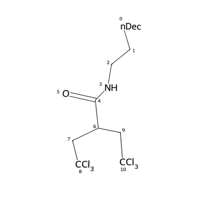 CCCCCCCCCCCCNC(=O)C(CC(Cl)(Cl)Cl)CC(Cl)(Cl)Cl